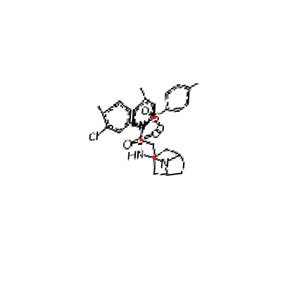 Cc1ccc(S(=O)(=O)NC2CC3CCC(C2)N3CCCN(c2ccc(C)c(Cl)c2)S(=O)(=O)c2ccc(C)cc2)cc1